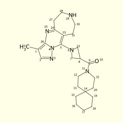 Cc1cnn2c(N3CC(C(=O)N4CCC5(CCCCC5)CC4)C3)c3c(nc12)CCNCC3